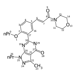 CCCOc1ccc(C=CC(=O)N2CCOCC2)cc1C1=Nc2c(c(C)nn2CCC)C(=O)[N]1